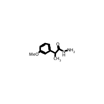 COc1cccc(C(C)C(=O)NN)c1